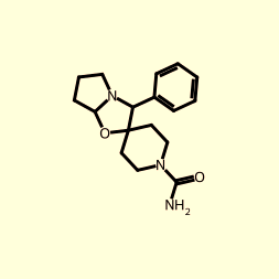 NC(=O)N1CCC2(CC1)OC1CCCN1C2c1ccccc1